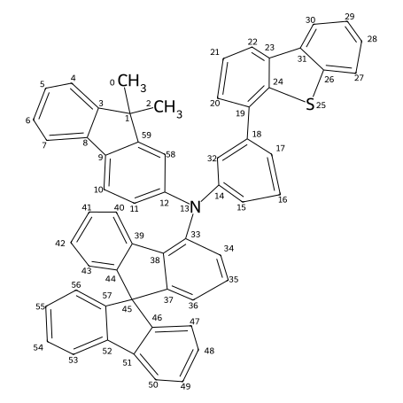 CC1(C)c2ccccc2-c2ccc(N(c3cccc(-c4cccc5c4sc4ccccc45)c3)c3cccc4c3-c3ccccc3C43c4ccccc4-c4ccccc43)cc21